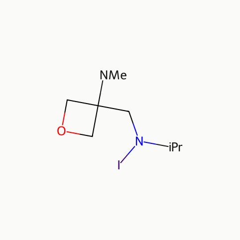 CNC1(CN(I)C(C)C)COC1